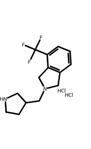 Cl.Cl.FC(F)(F)c1cccc2c1CN(CC1CCNC1)C2